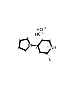 C[C@@H]1C[C@@H](N2CCCC2)CCN1.Cl.Cl